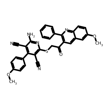 COc1ccc(-c2c(C#N)c(N)nc(SCC(=O)c3cc4cc(OC)ccc4nc3-c3ccccc3)c2C#N)cc1